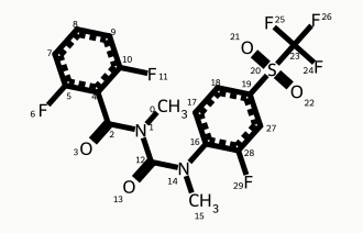 CN(C(=O)c1c(F)cccc1F)C(=O)N(C)c1ccc(S(=O)(=O)C(F)(F)F)cc1F